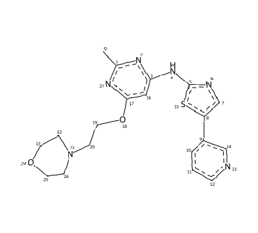 Cc1nc(Nc2ncc(-c3cccnc3)s2)cc(OCCN2CCOCC2)n1